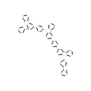 c1ccc2c(c1)oc1cc(-n3c4ccccc4c4cc(-c5ccc(-c6ccc7c(c6)c6ccccc6n7-c6ccc(-c7cc8c9ccccc9n9c%10ccccc%10c(c7)c89)cc6)cc5)ccc43)ccc12